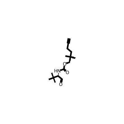 C#CCCC(C)(C)COC(=O)N[C@H](C=O)C(C)(C)C